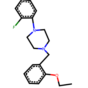 CCOc1ccccc1CN1CCN(c2ccccc2F)CC1